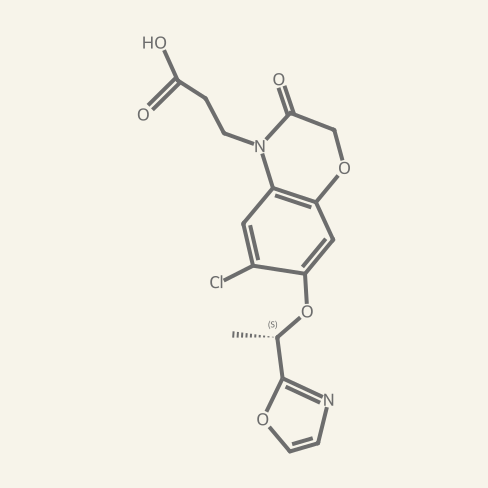 C[C@H](Oc1cc2c(cc1Cl)N(CCC(=O)O)C(=O)CO2)c1ncco1